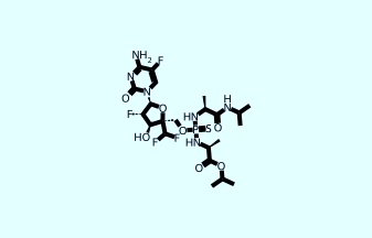 CC(C)NC(=O)[C@H](C)NP(=S)(N[C@@H](C)C(=O)OC(C)C)OC[C@@]1(C(F)F)O[C@@H](n2cc(F)c(N)nc2=O)[C@@H](F)[C@@H]1O